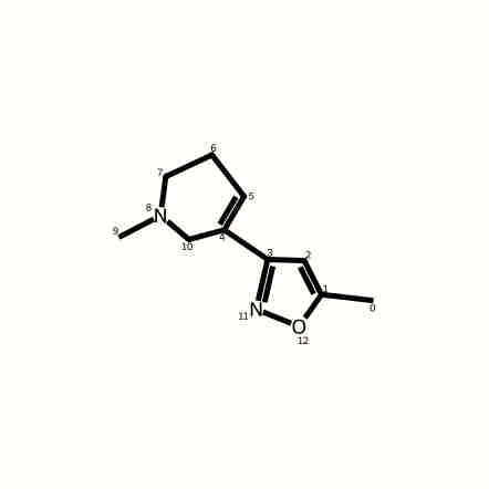 Cc1cc(C2=CCCN(C)C2)no1